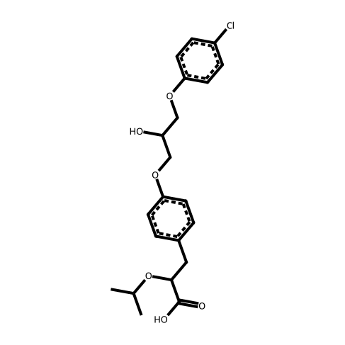 CC(C)OC(Cc1ccc(OCC(O)COc2ccc(Cl)cc2)cc1)C(=O)O